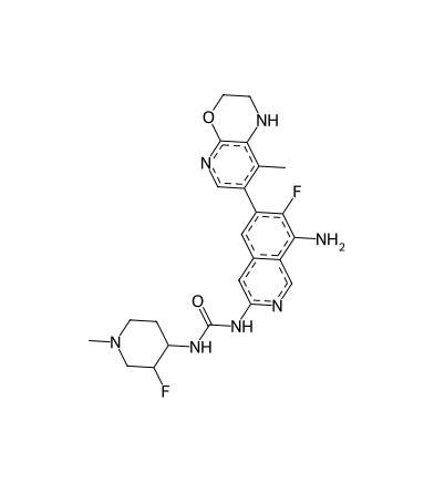 Cc1c(-c2cc3cc(NC(=O)NC4CCN(C)CC4F)ncc3c(N)c2F)cnc2c1NCCO2